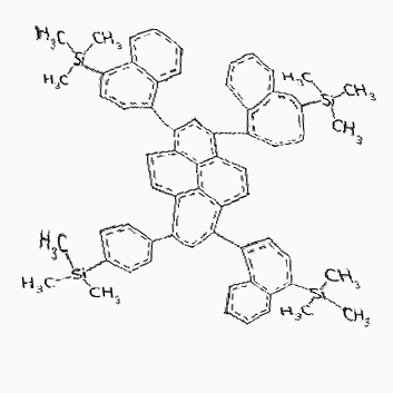 C[Si](C)(C)c1ccc(-c2cc(-c3ccc([Si](C)(C)C)c4ccccc34)c3ccc4c(-c5ccc([Si](C)(C)C)c6ccccc56)cc(-c5ccc([Si](C)(C)C)c6ccccc56)c5ccc2c3c54)cc1